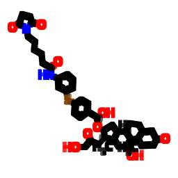 C[C@]12C=CC(=O)C=C1CC[C@@H]1C2[C@@H](O)C[C@@]2(C)C1CC(O[C@H](O)c1ccc(Sc3cccc(NC(=O)CCCCCN4C(=O)C=CC4=O)c3)cc1)[C@@H]2CC(=O)CO